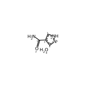 NC(=O)c1cn[nH]c1.O